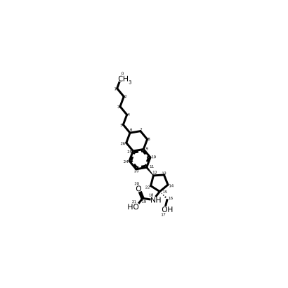 CCCCCCC1CCc2cc([C@H]3CC[C@@](CO)(NC(=O)O)C3)ccc2C1